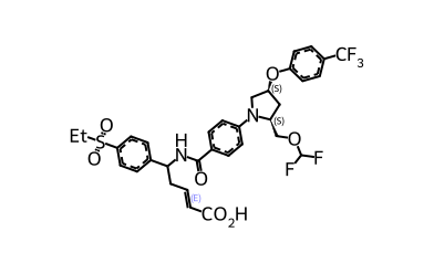 CCS(=O)(=O)c1ccc(C(C/C=C/C(=O)O)NC(=O)c2ccc(N3C[C@@H](Oc4ccc(C(F)(F)F)cc4)C[C@H]3COC(F)F)cc2)cc1